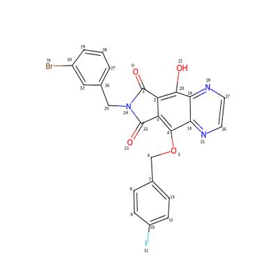 O=C1c2c(c(OCc3ccc(F)cc3)c3nccnc3c2O)C(=O)N1Cc1cccc(Br)c1